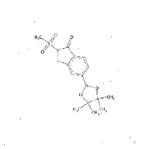 CC1(C)OB(c2ccc3c(c2)CN(S(C)(=O)=O)C3=O)OC1(C)C